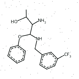 CC(O)C(N)C(NCc1cccc(C(F)(F)F)c1)Oc1ccccc1